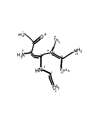 C=CNC(=C(\N)C(N)=O)/[N+](C)=C(\C)N